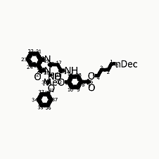 CCCCCCCCCCCCCCOC(=O)c1ccc(OC)c(NC(=O)Cc2nc3ccccc3c(=O)n2NCOc2ccccc2)c1